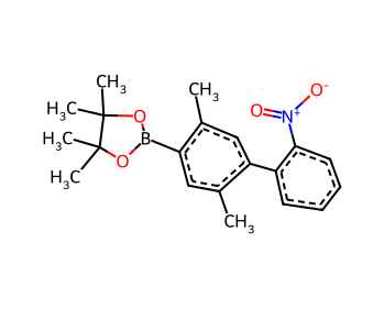 Cc1cc(-c2ccccc2[N+](=O)[O-])c(C)cc1B1OC(C)(C)C(C)(C)O1